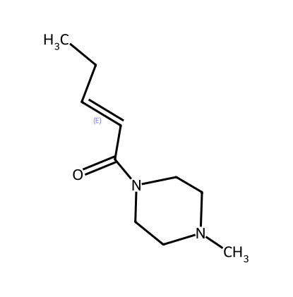 CC/C=C/C(=O)N1CCN(C)CC1